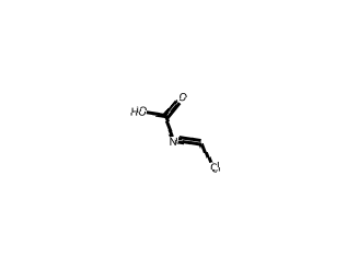 O=C(O)N=CCl